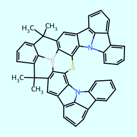 CC1(C)c2cccc3c2B2c4c1cc1c5cccc6c7ccccc7n(c1c4Sc1c2c(cc2c4cccc7c8ccccc8n(c12)c74)C3(C)C)c65